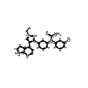 CCn1cc(-c2ccnc3[nH]ccc23)c(-c2cccc(N(C(N)=O)c3cccc(Cl)c3)c2)n1